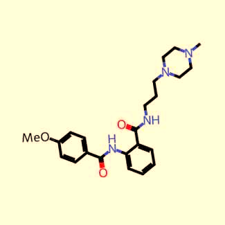 COc1ccc(C(=O)Nc2ccccc2C(=O)NCCCN2CCN(C)CC2)cc1